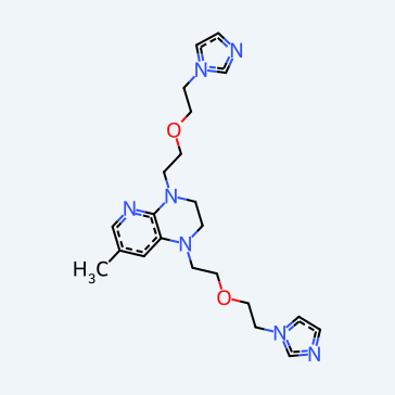 Cc1cnc2c(c1)N(CCOCCn1ccnc1)CCN2CCOCCn1ccnc1